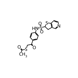 CC(=O)SCC(=O)c1ccc(NS(=O)(=O)C2Cc3cnccc3S2)cc1